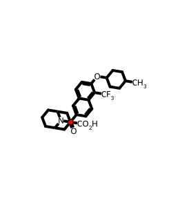 CC1CCC(Oc2ccc3cc(C(=O)N4C5CCCC4CC(C(=O)O)C5)ccc3c2C(F)(F)F)CC1